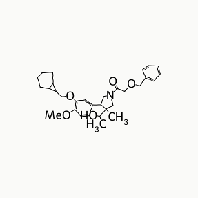 COc1ccc(C2CN(C(=O)COCc3ccccc3)CC2(C)[C@@H](C)O)cc1OCC1C2CCCCC21